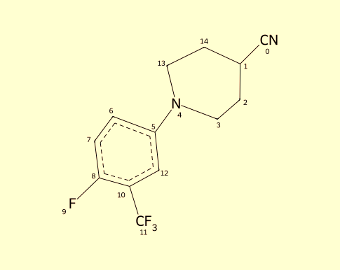 N#CC1CCN(c2ccc(F)c(C(F)(F)F)c2)CC1